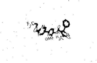 COc1nc(-c2cnc(OCC(F)(F)F)nc2)ccc1NC(=O)c1c(-c2ccccc2)noc1C